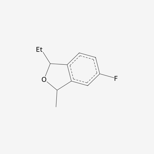 CCC1OC(C)c2cc(F)ccc21